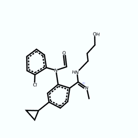 C/N=C(/NCCCO)c1ccc(C2CC2)cc1N(C=O)c1ccccc1Cl